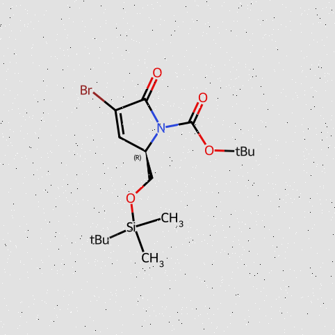 CC(C)(C)OC(=O)N1C(=O)C(Br)=C[C@@H]1CO[Si](C)(C)C(C)(C)C